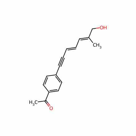 CC(=O)c1ccc(C#C/C=C/C=C(\C)CO)cc1